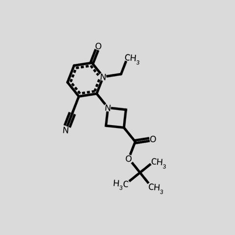 CCn1c(N2CC(C(=O)OC(C)(C)C)C2)c(C#N)ccc1=O